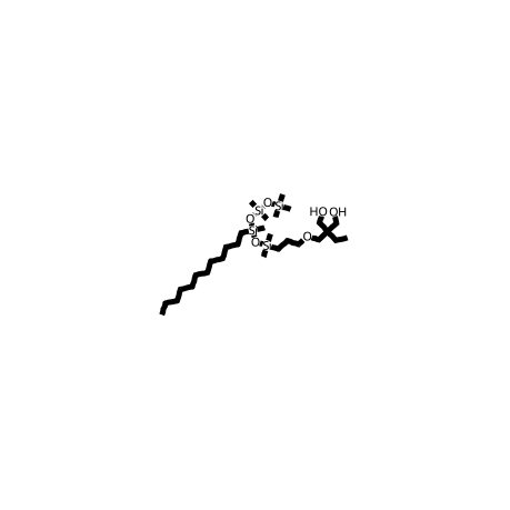 CCCCCCCCCCCC[Si](C)(O[Si](C)(C)CCCOCC(CC)(CO)CO)O[Si](C)(C)O[Si](C)(C)C